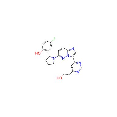 OCCc1cc(-c2cnc3ccc(N4CCC[C@@H]4c4cc(F)ccc4O)nn23)ncn1